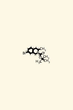 CC1Cc2ccc(Br)cc2CN1C(=O)OC(C)(C)C